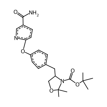 CC(C)(C)OC(=O)N1C(Cc2ccc(Oc3ccc(C(N)=O)cn3)cc2)COC1(C)C